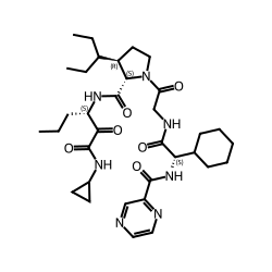 CCC[C@H](NC(=O)[C@@H]1[C@@H](C(CC)CC)CCN1C(=O)CNC(=O)[C@@H](NC(=O)c1cnccn1)C1CCCCC1)C(=O)C(=O)NC1CC1